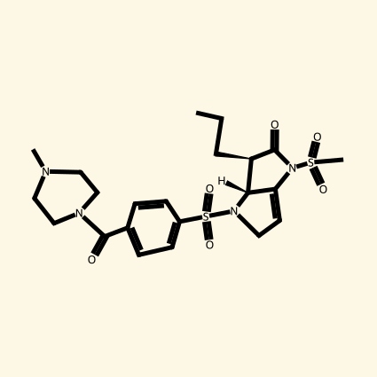 CCC[C@H]1C(=O)N(S(C)(=O)=O)C2=CCN(S(=O)(=O)c3ccc(C(=O)N4CCN(C)CC4)cc3)[C@@H]21